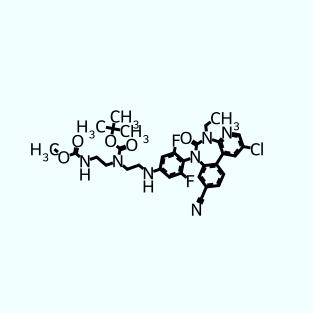 CCN1C(=O)N(c2c(F)cc(NCCN(CCNC(=O)OC)C(=O)OC(C)(C)C)cc2F)c2cc(C#N)ccc2-c2cc(Cl)cnc21